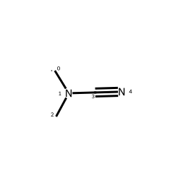 [CH2]N(C)C#N